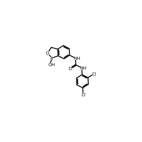 O=C(Nc1ccc2c(c1)B(O)OC2)Nc1ccc(Cl)cc1Cl